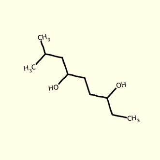 CCC(O)CCC(O)CC(C)C